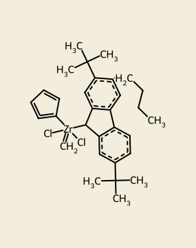 [CH2]=[Zr]([Cl])([Cl])([C]1=C=CC=C1)[CH]1c2cc(C(C)(C)C)ccc2-c2ccc(C(C)(C)C)cc21.[CH2]CCC